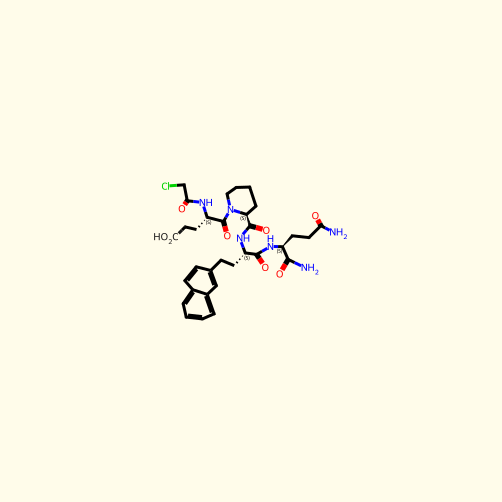 NC(=O)CC[C@H](NC(=O)[C@H](CCc1ccc2ccccc2c1)NC(=O)[C@@H]1CCCCN1C(=O)[C@H](CCC(=O)O)NC(=O)CCl)C(N)=O